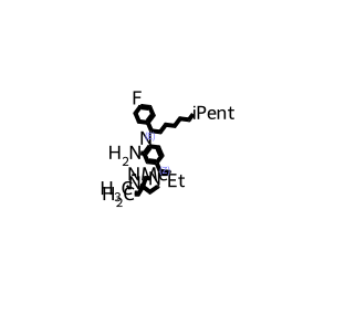 C=CC1(N(C)NC)CCN(/C(=C\CC)c2ccc(/N=C(\CCCCCC(C)CCC)C3=CC=C(F)CC3)c(N)c2)C1